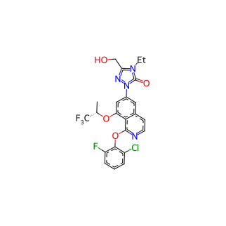 CCn1c(CO)nn(-c2cc(O[C@@H](C)C(F)(F)F)c3c(Oc4c(F)cccc4Cl)nccc3c2)c1=O